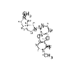 Cc1ccc(Oc2cncnc2N2CCC3(CCN(C)C3)C2)c(Cl)c1F